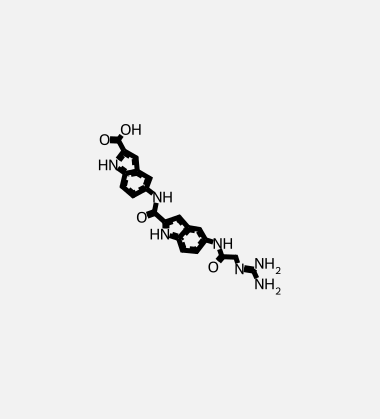 NC(N)=NCC(=O)Nc1ccc2[nH]c(C(=O)Nc3ccc4[nH]c(C(=O)O)cc4c3)cc2c1